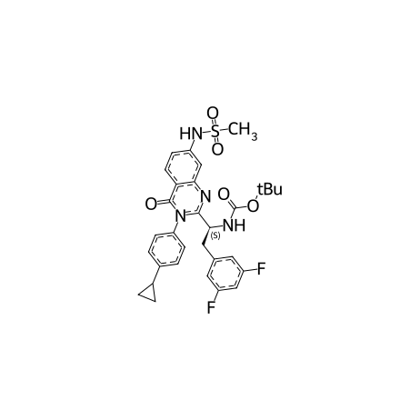 CC(C)(C)OC(=O)N[C@@H](Cc1cc(F)cc(F)c1)c1nc2cc(NS(C)(=O)=O)ccc2c(=O)n1-c1ccc(C2CC2)cc1